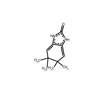 CC1(C)C=c2[nH]c(=O)[nH]c2=CC1(C)C